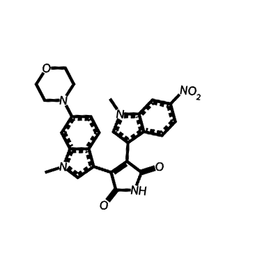 Cn1cc(C2=C(c3cn(C)c4cc([N+](=O)[O-])ccc34)C(=O)NC2=O)c2ccc(N3CCOCC3)cc21